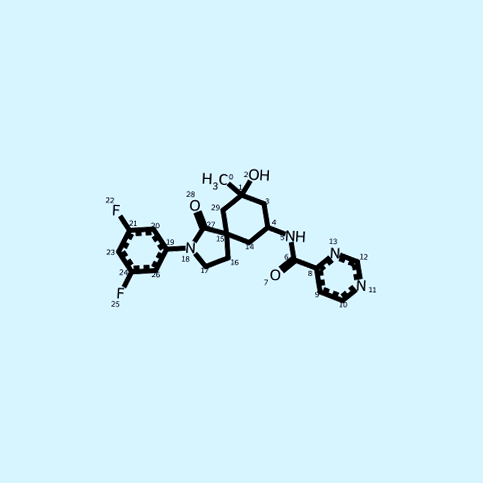 CC1(O)CC(NC(=O)c2ccncn2)CC2(CCN(c3cc(F)cc(F)c3)C2=O)C1